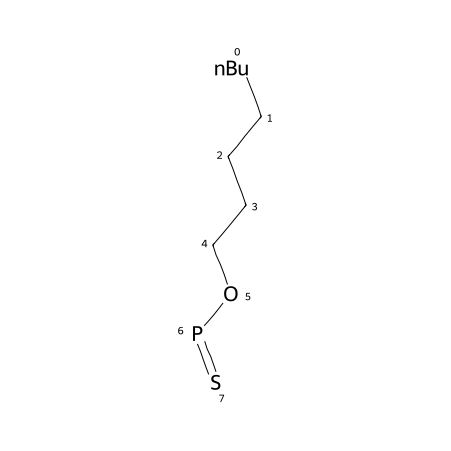 CCCCCCCCOP=S